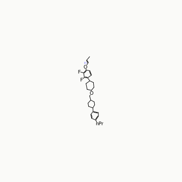 C/C=C/Oc1ccc(C2CCC(OCC3CCC(c4ccc(CCC)cc4)CC3)CC2)c(F)c1F